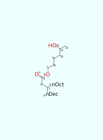 CCCCCCCCCCC(CCCCCCCC)CC(=O)OCCCCC(C)O